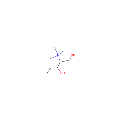 CCC(O)C(CO)[N+](C)(C)C